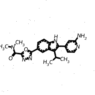 CC(C)c1c(-c2ccnc(N)c2)[nH]c2ccc(-c3nnc(C(=O)N(C)C)o3)cc12